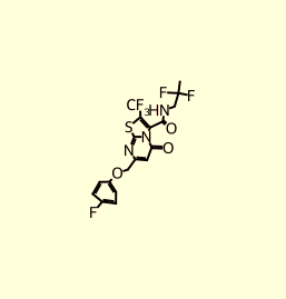 CC(F)(F)CNC(=O)c1c(C(F)(F)F)sc2nc(COc3ccc(F)cc3)cc(=O)n12